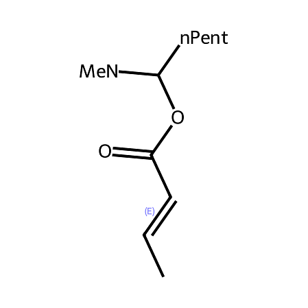 C/C=C/C(=O)OC(CCCCC)NC